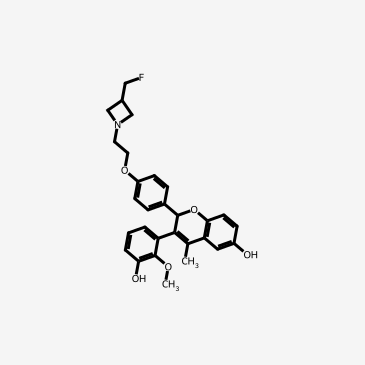 COc1c(O)cccc1C1=C(C)c2cc(O)ccc2OC1c1ccc(OCCN2CC(CF)C2)cc1